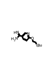 CC(C)(C)CCOc1ccc(C(=N)N)cn1